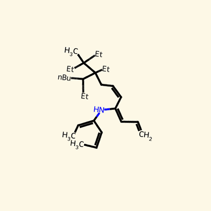 C=C/C=C(\C=C/CC(CC)(C(CC)CCCC)C(C)(CC)CC)NC(/C=C\C)=C/C